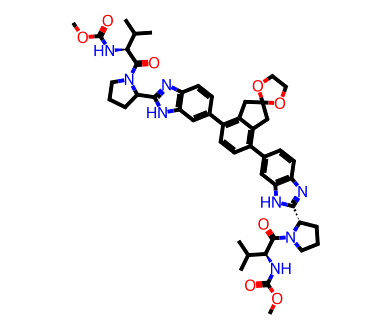 COC(=O)N[C@H](C(=O)N1CCCC1c1nc2ccc(-c3ccc(-c4ccc5nc([C@@H]6CCCN6C(=O)[C@@H](NC(=O)OC)C(C)C)[nH]c5c4)c4c3CC3(C4)OCCO3)cc2[nH]1)C(C)C